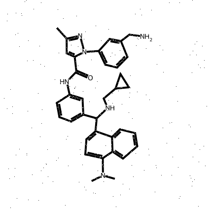 Cc1cc(C(=O)Nc2cccc(C(NCC3CC3)c3ccc(N(C)C)c4ccccc34)c2)n(-c2cccc(CN)c2)n1